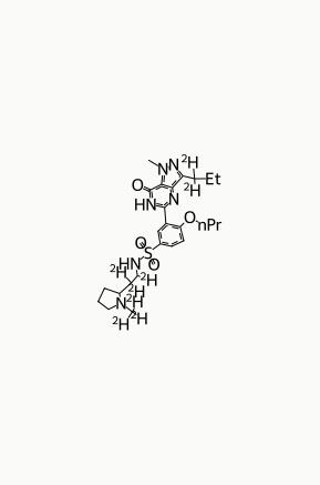 [2H]C(NS(=O)(=O)c1ccc(OCCC)c(-c2nc3c(C([2H])([2H])CC)nn(C)c3c(=O)[nH]2)c1)C([2H])([2H])C1CCCN1C([2H])([2H])[2H]